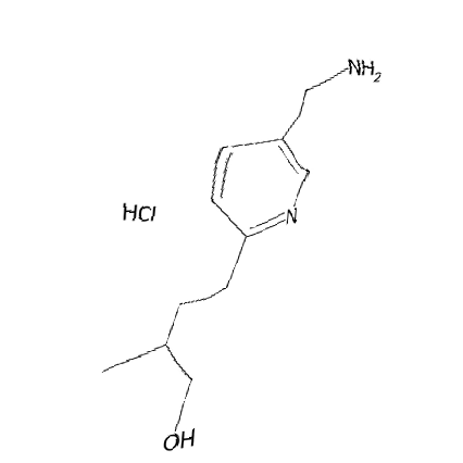 CC(CO)CCc1ccc(CN)cn1.Cl